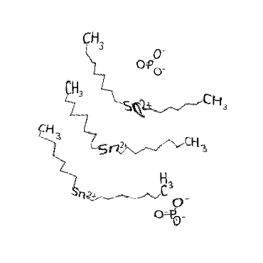 CCCCCCC[CH2][Sn+2][CH2]CCCCCCC.CCCCCCC[CH2][Sn+2][CH2]CCCCCCC.CCCCCCC[CH2][Sn+2][CH2]CCCCCCC.[O-]P([O-])[O-].[O-]P([O-])[O-]